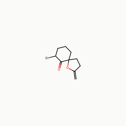 C=C1CCC2(CCCC(CC)C2=O)O1